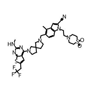 CNc1nc(N2CCC3(CCN(Cc4ccc5c(cc(C#N)n5CCN5CCS(=O)(=O)CC5)c4C)C3)C2)c2cc(CC(F)(F)F)sc2n1